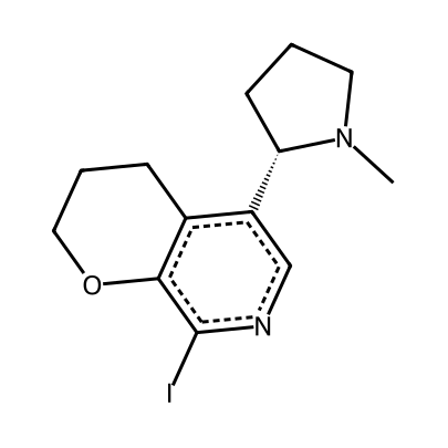 CN1CCC[C@H]1c1cnc(I)c2c1CCCO2